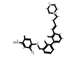 Cc1cc(OCc2cccc(-c3cccc(/C=C/CCN4CCOCC4)c3C)c2C)c(Cl)cc1C=O